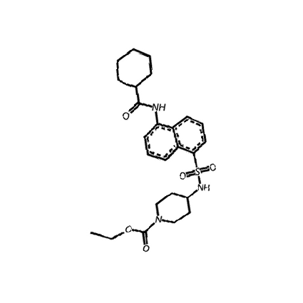 CCOC(=O)N1CCC(NS(=O)(=O)c2cccc3c(NC(=O)C4CCCCC4)cccc23)CC1